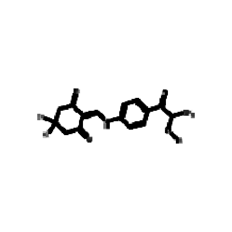 CCOC(C)C(=O)c1ccc(NC=C2C(=O)CC(CC)(CC)CC2=O)cc1